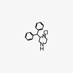 ClN1CCNCC1C(c1ccccc1)c1ccccc1